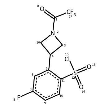 O=C(N1CC(c2cc(F)ccc2S(=O)(=O)Cl)C1)C(F)(F)F